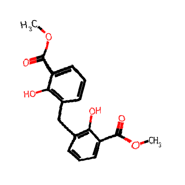 COC(=O)c1cccc(Cc2cccc(C(=O)OC)c2O)c1O